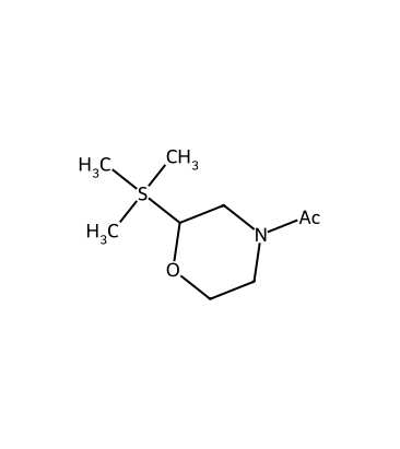 CC(=O)N1CCOC(S(C)(C)C)C1